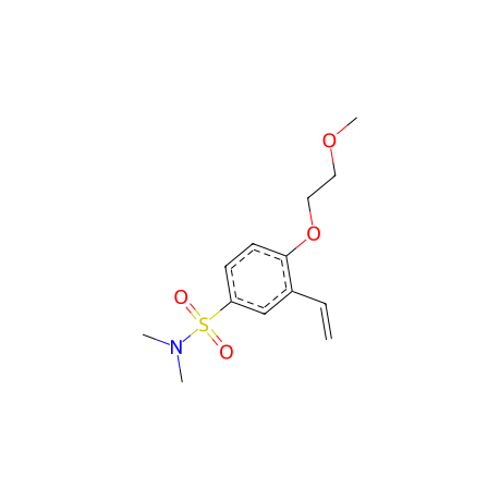 C=Cc1cc(S(=O)(=O)N(C)C)ccc1OCCOC